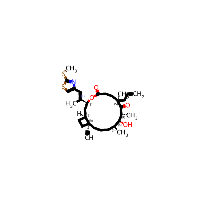 C#C[C@@]12CCC[C@H](C)[C@H](O)[C@@H](C)C(=O)[C@](C)(CC=C)CCC(=O)O[C@H](/C(C)=C/c3csc(SC)n3)C[C@@H]1CC2